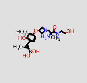 C[C@@H]1C(B(O)O)C1c1ccc(OC2CN(C[C@](C)(N)C(=O)NCCO)C2)c(C(=O)O)c1O